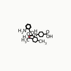 CC1CCC(C(C)C)C(NC2CCC(C(=O)O)CC2)(C2=COC(c3ccccc3N)O2)C1